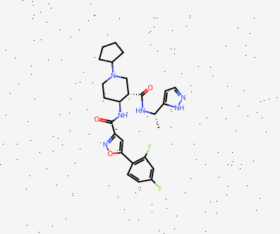 C[C@H](NC(=O)[C@H]1CN(C2CCCC2)CC[C@@H]1NC(=O)c1cc(-c2ccc(F)cc2F)on1)c1ccn[nH]1